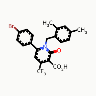 Cc1ccc(Cn2c(-c3ccc(Br)cc3)cc(C(F)(F)F)c(C(=O)O)c2=O)c(C)c1